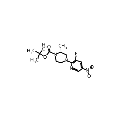 C[C@@H]1CN(c2ncc([N+](=O)[O-])cc2F)CCN1C(=O)OC(C)(C)C